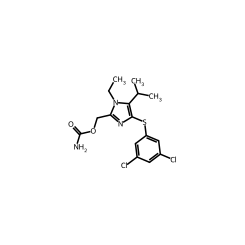 CCn1c(COC(N)=O)nc(Sc2cc(Cl)cc(Cl)c2)c1C(C)C